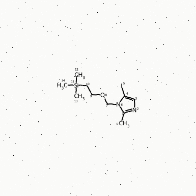 Cc1ncc(I)n1COCC[Si](C)(C)C